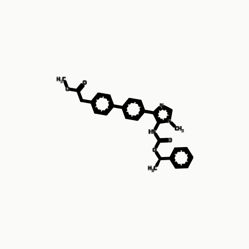 COC(=O)Cc1ccc(-c2ccc(-c3ncn(C)c3NC(=O)O[C@H](C)c3ccccc3)cc2)cc1